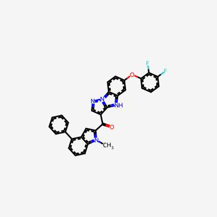 Cn1c(C(=O)c2cnn3c2[nH]c2cc(Oc4cccc(F)c4F)ccc23)cc2c(-c3ccccc3)cccc21